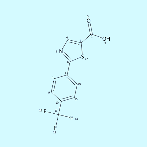 O=C(O)c1cnc(-c2ccc(C(F)(F)F)cc2)s1